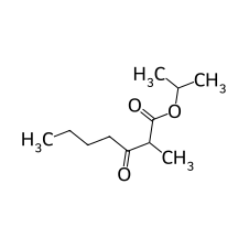 CCCCC(=O)C(C)C(=O)OC(C)C